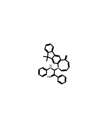 C=C1/C=C\C=C/N(C(Nc2ccccc2)C(=N)c2ccccc2)c2cc3c(cc21)-c1ccccc1C3(C)C